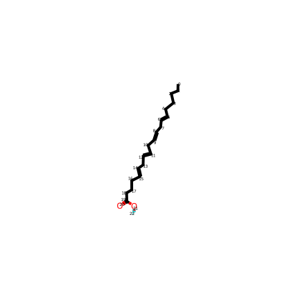 CCCCCC=CCC=CCC=CCC=CCCCC(=O)OF